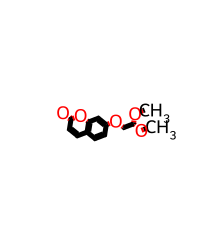 COC(COc1ccc2ccc(=O)oc2c1)OC